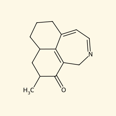 CC1CC2CCCC3=CC=NCC(=C32)C1=O